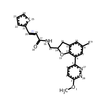 COc1ccc(-c2cc(F)cc3c2OC(CNC(=O)/C=C/c2cccs2)C3)nn1